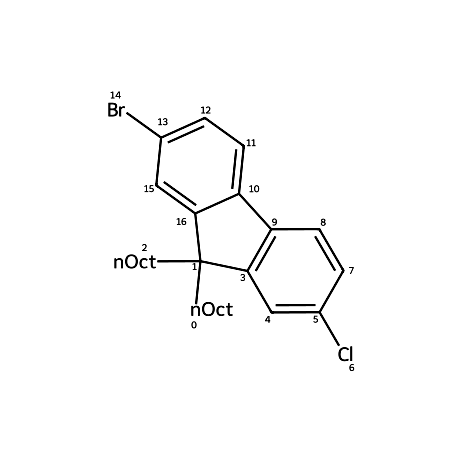 CCCCCCCCC1(CCCCCCCC)c2cc(Cl)ccc2-c2ccc(Br)cc21